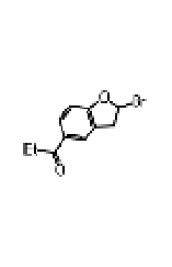 CCC(=O)c1ccc2c(c1)CC(Br)O2